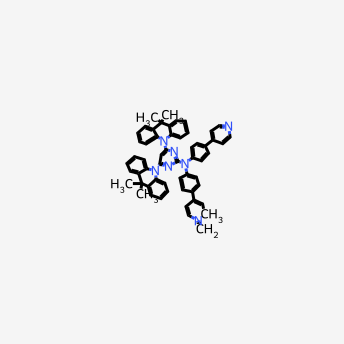 C=N/C=C\C(=C/C)c1ccc(N(c2ccc(-c3ccncc3)cc2)c2nc(N3c4ccccc4C(C)(C)c4ccccc43)cc(N3c4ccccc4C(C)(C)c4ccccc43)n2)cc1